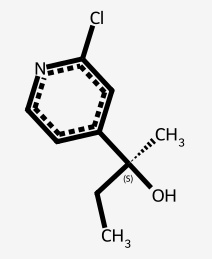 CC[C@](C)(O)c1ccnc(Cl)c1